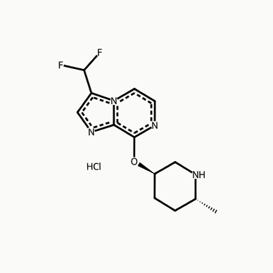 C[C@@H]1CC[C@@H](Oc2nccn3c(C(F)F)cnc23)CN1.Cl